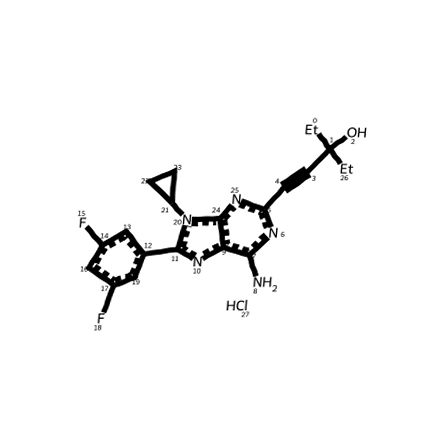 CCC(O)(C#Cc1nc(N)c2nc(-c3cc(F)cc(F)c3)n(C3CC3)c2n1)CC.Cl